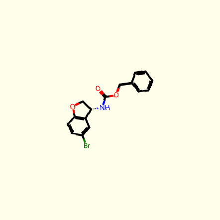 O=C(N[C@H]1COc2ccc(Br)cc21)OCc1ccccc1